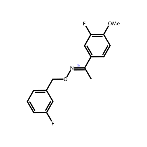 COc1ccc(/C(C)=N/OCc2cccc(F)c2)cc1F